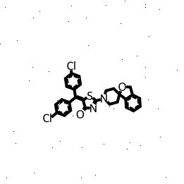 O=C1N=C(N2CCC3(CC2)OCc2ccccc23)SC1=C(c1ccc(Cl)cc1)c1ccc(Cl)cc1